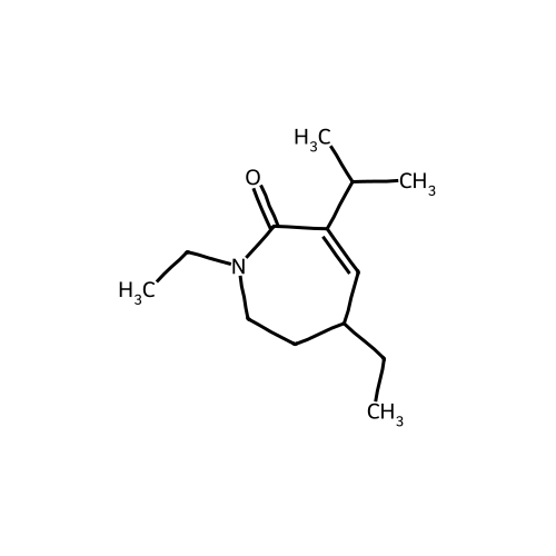 CCC1C=C(C(C)C)C(=O)N(CC)CC1